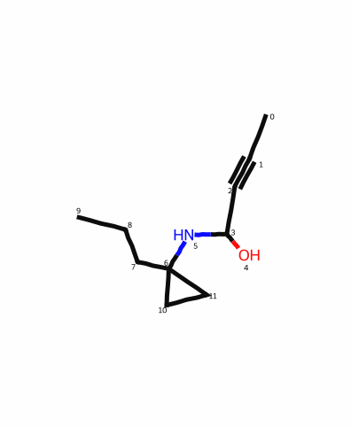 CC#CC(O)NC1(CCC)CC1